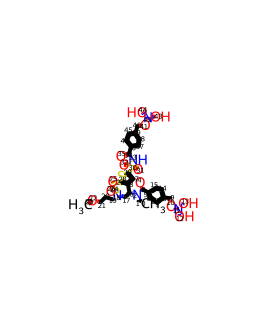 CCN(C(=O)c1ccc(CON(O)O)cc1)[C@H]1CN(CCCOC)S(=O)(=O)c2sc(S(=O)(=O)NC(=O)c3ccc(CON(O)O)cc3)cc21